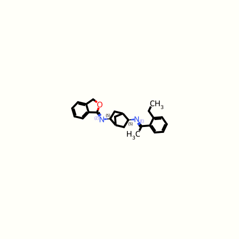 CCc1ccccc1/C(C)=N/[C@H]1CC2CC1C[C@@H]2/N=C1\OCc2ccccc21